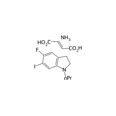 CCCN1CCc2cc(F)c(I)cc21.N.O=C(O)C=CC(=O)O